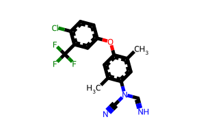 Cc1cc(N(C#N)C=N)c(C)cc1Oc1ccc(Cl)c(C(F)(F)F)c1